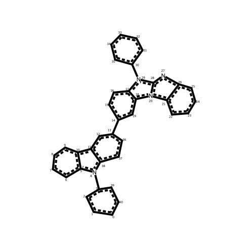 c1ccc(-n2c3ccccc3c3cc(-c4ccc5c(c4)n4c6ccccc6nc4n5-c4ccccc4)ccc32)cc1